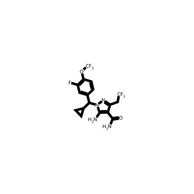 NC(=O)c1c(CC(F)(F)F)nn(C(c2ccc(OC(F)(F)F)c(F)c2)C2CC2)c1N